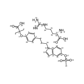 CC(C)(Oc1ccc(CCCn2ccc3cc(OS(C)(=O)=O)ccc32)cc1)C(=O)O.N=C(N)NCCC[C@H](N)C(=O)O